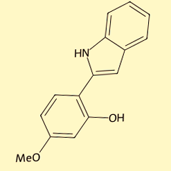 COc1ccc(-c2cc3ccccc3[nH]2)c(O)c1